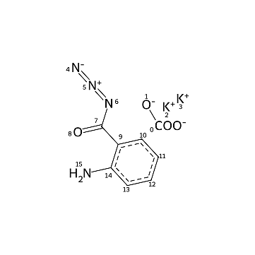 O=C([O-])[O-].[K+].[K+].[N-]=[N+]=NC(=O)c1ccccc1N